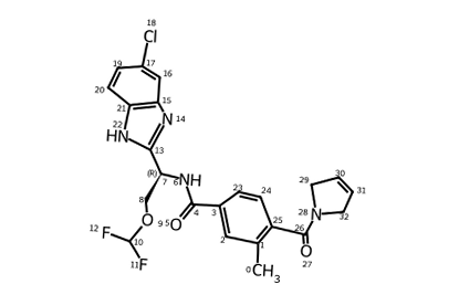 Cc1cc(C(=O)N[C@@H](COC(F)F)c2nc3cc(Cl)ccc3[nH]2)ccc1C(=O)N1CC=CC1